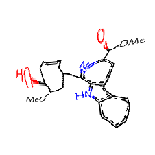 COC(=O)c1cc2c([nH]c3ccccc32)c(C2C=CC(O)C(OC)C2)n1